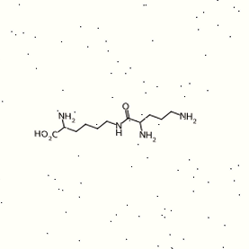 NCCCC(N)C(=O)NCCCCC(N)C(=O)O